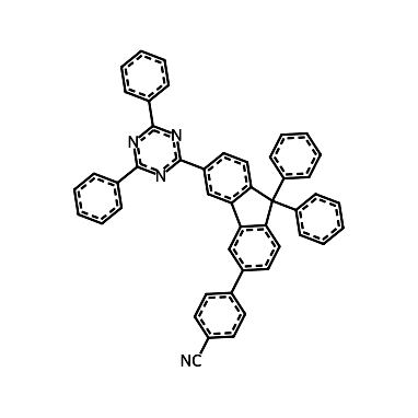 N#Cc1ccc(-c2ccc3c(c2)-c2cc(-c4nc(-c5ccccc5)nc(-c5ccccc5)n4)ccc2C3(c2ccccc2)c2ccccc2)cc1